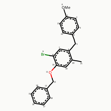 COc1ccc(Cc2cc(Br)c(OCc3ccccc3)cc2C)cc1